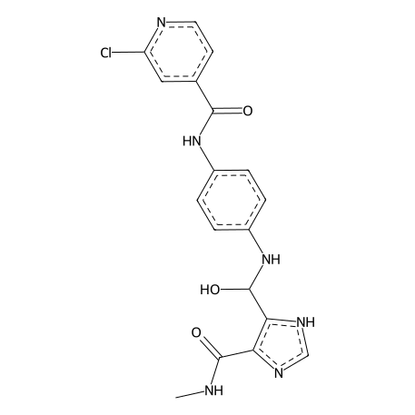 CNC(=O)c1nc[nH]c1C(O)Nc1ccc(NC(=O)c2ccnc(Cl)c2)cc1